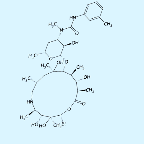 CC[C@H]1OC(=O)[C@H](C)[C@@H](O)[C@H](C)[C@@H](O[C@@H]2O[C@H](C)C[C@H](N(C)C(=O)Nc3cccc(C)c3)[C@H]2O)[C@](C)(O)C[C@@H](C)CN[C@H](C)[C@@H](O)[C@]1(C)O